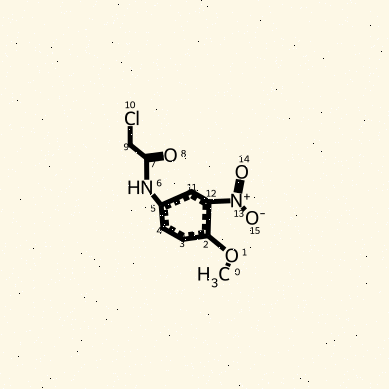 COc1ccc(NC(=O)CCl)cc1[N+](=O)[O-]